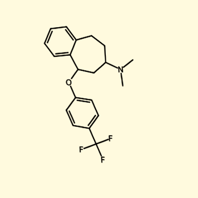 CN(C)C1CCc2ccccc2C(Oc2ccc(C(F)(F)F)cc2)C1